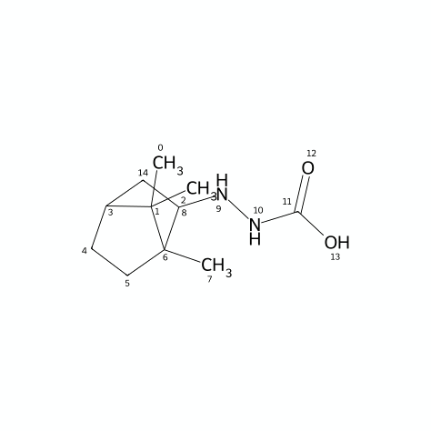 CC1(C)C2CCC1(C)C(NNC(=O)O)C2